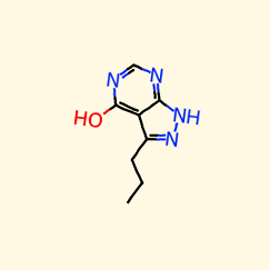 CCCc1n[nH]c2ncnc(O)c12